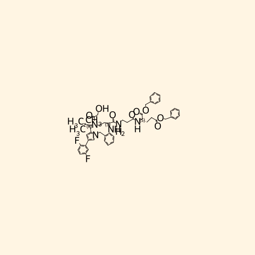 CC(C)(C)[C@H](c1cc(-c2cc(F)ccc2F)cn1Cc1ccccc1)N(CC[C@H](N)C(=O)NCCC(=O)N[C@@H](CCC(=O)OCc1ccccc1)C(=O)OCc1ccccc1)C(=O)CO